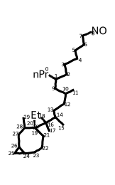 CCCC(CCCCCCN=O)CC(C)CCC(C)C(C)(CC)[C@]1(C)CCCC2CC2CC1C